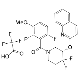 COc1ccc(F)c(C(=O)N2CCC(F)(F)[C@@H](Oc3ccc4ccccc4n3)C2)c1F.O=C(O)C(F)(F)F